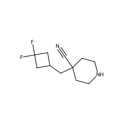 N#CC1(CC2CC(F)(F)C2)CCNCC1